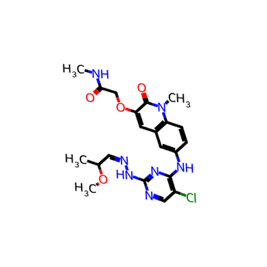 CNC(=O)COc1cc2cc(Nc3nc(N/N=C\C(C)OC)ncc3Cl)ccc2n(C)c1=O